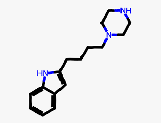 c1ccc2[nH]c(CCCCN3CCNCC3)cc2c1